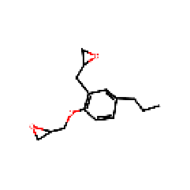 CCCc1ccc(OCC2CO2)c(CC2CO2)c1